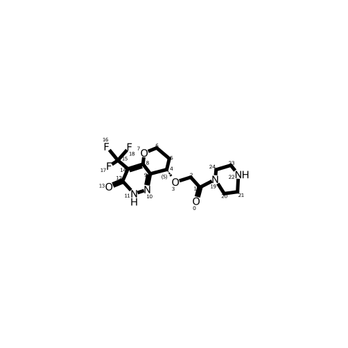 O=C(CO[C@H]1CCOc2c1n[nH]c(=O)c2C(F)(F)F)N1CCNCC1